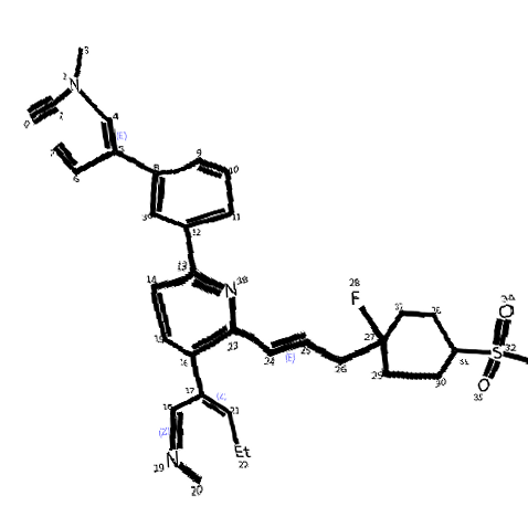 C#CN(C)/C=C(\C=C)c1cccc(-c2ccc(C(/C=N\C)=C/CC)c(/C=C/CC3(F)CCC(S(C)(=O)=O)CC3)n2)c1